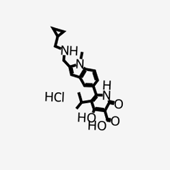 CC(C)c1c(-c2ccc3c(c2)cc(CNCC2CC2)n3C)[nH]c(=O)c(C(=O)O)c1O.Cl